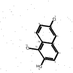 Oc1ccc2cc(Cl)ccc2c1Cl